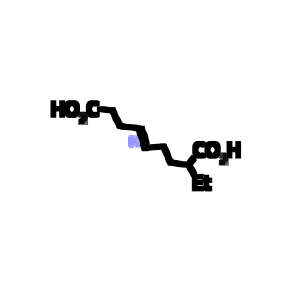 CCC(CC/C=C/CCC(=O)O)C(=O)O